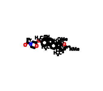 CNC[C@H]1C[C@@H](C)C2[C@H](O1)[C@H](OC)[C@@]1(C)[C@@H]3CC[C@H]4C(C)(C)[C@@H](O[C@H]5CN(C(=O)C(C)C)CCO5)CC[C@]4(C)[C@]3(C)CC[C@]21C